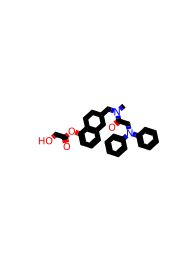 CN(CC1CCc2c(cccc2OC(=O)CO)C1)C(=O)CN(c1ccccc1)c1ccccc1